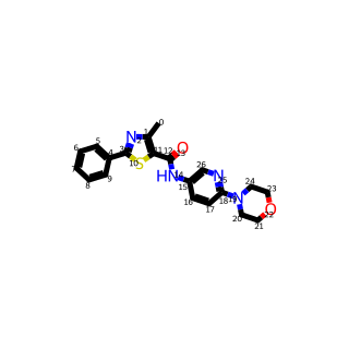 Cc1nc(-c2ccccc2)sc1C(=O)Nc1ccc(N2CCOCC2)nc1